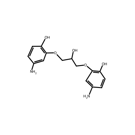 Nc1ccc(O)c(OCC(O)COc2cc(N)ccc2O)c1